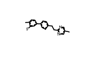 Cc1cnc(CCc2ccc(-c3ccc(C)c(F)c3)cc2)nc1